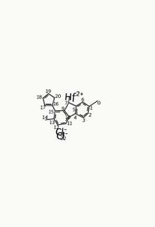 Cc1ccc2c(c1)[CH]([Hf+2])c1c-2ccc(C)c1C1=CC=CC1.[Cl-].[Cl-]